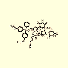 COc1ccc(C(OC[C@H]2O[C@@H](n3ccc(=O)[nH]c3=O)C(OC)C2OP(=S)(OCCC#N)OC[C@H]2O[C@@H](n3ccc(=O)[nH]c3=O)C(OC)C2O)(c2ccccc2)c2ccc(OC)cc2)cc1